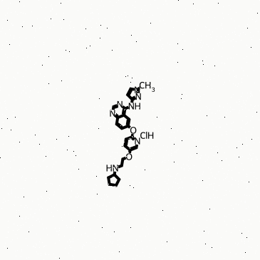 Cl.Cn1ccc(Nc2ncnc3ccc(Oc4ccc(OCCNC5CCCC5)cn4)cc23)n1